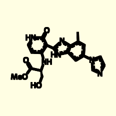 COC(=O)[C@H](CO)Nc1cc[nH]c(=O)c1-c1nc2c(C)cc(-n3ccnc3)cc2[nH]1